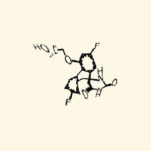 O=C(O)COc1cc(F)cc2c1-c1ccc(F)cc1C21NC(=O)NC1=O